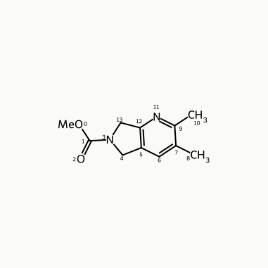 COC(=O)N1Cc2cc(C)c(C)nc2C1